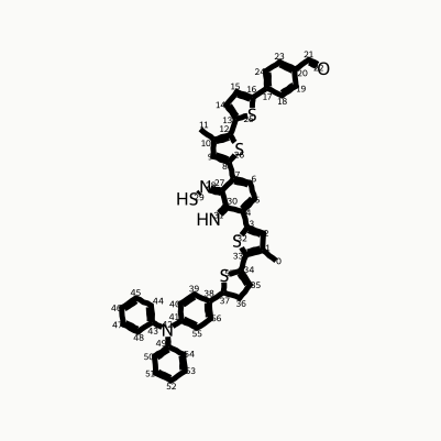 Cc1cc(C2=CC=C(c3cc(C)c(-c4ccc(-c5ccc(C=O)cc5)s4)s3)/C(=N/S)C2=N)sc1C1=CCC(c2ccc(N(c3ccccc3)c3ccccc3)cc2)S1